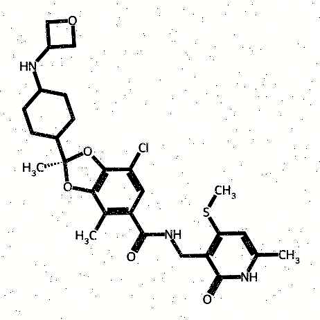 CSc1cc(C)[nH]c(=O)c1CNC(=O)c1cc(Cl)c2c(c1C)O[C@@](C)(C1CCC(NC3COC3)CC1)O2